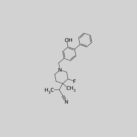 CC(C#N)C1(C)CCN(Cc2ccc(-c3ccccc3)c(O)c2)CC1F